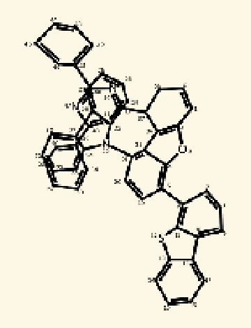 C1=Cc2oc3c(-c4cccc5c4sc4ccccc45)ccc(-n4c5ccccc5c5ccccc54)c3c2C(c2nc(-c3ccccc3)nc(-c3ccccc3)n2)C1